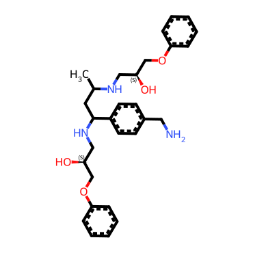 CC(CC(NC[C@H](O)COc1ccccc1)c1ccc(CN)cc1)NC[C@H](O)COc1ccccc1